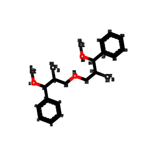 CCOC(c1ccccc1)C(COCC(C(OCC)c1ccccc1)C(F)(F)F)C(F)(F)F